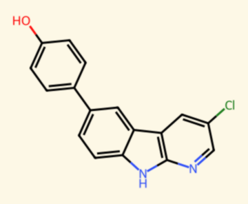 Oc1ccc(-c2ccc3[nH]c4ncc(Cl)cc4c3c2)cc1